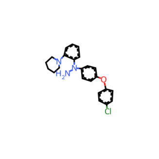 NN(c1ccc(Oc2ccc(Cl)cc2)cc1)c1ccccc1N1CCCCC1